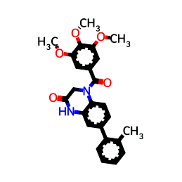 COc1cc(C(=O)N2CC(=O)Nc3cc(-c4ccccc4C)ccc32)cc(OC)c1OC